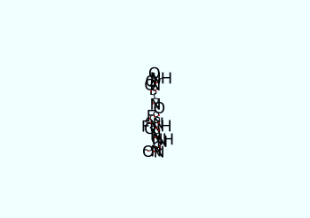 CCCC(C(=O)NC=O)N1Cc2cc(C3CCN(C(=O)CC4CCC5(CC4)CCN(CC4(NC(=O)c6cc(F)ccc6F)CCN(C6C=CC(c7cc(OCC)cn8ncc(C#N)c78)=CN6)CC4)CC5)CC3)ccc2C1=O